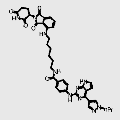 CCCn1cc(-c2nc(Nc3ccc(C(=O)NCCCCCCNc4cccc5c4C(=O)N(C4CCC(=O)NC4=O)C5=O)cc3)nc3[nH]ccc23)cn1